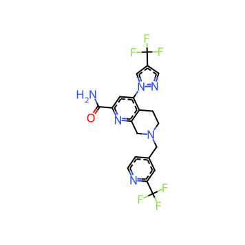 NC(=O)c1cc(-n2cc(C(F)(F)F)cn2)c2c(n1)CN(Cc1ccnc(C(F)(F)F)c1)CC2